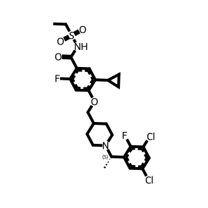 CCS(=O)(=O)NC(=O)c1cc(C2CC2)c(OCC2CCN([C@@H](C)c3cc(Cl)cc(Cl)c3F)CC2)cc1F